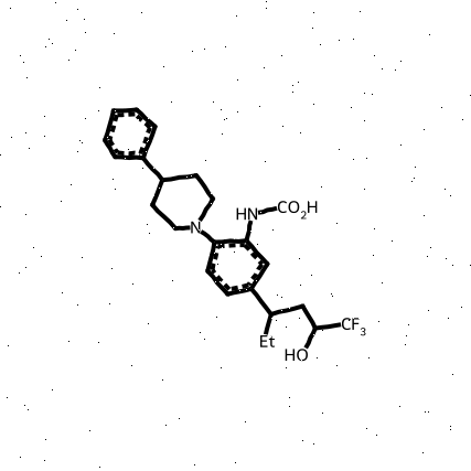 CCC(CC(O)C(F)(F)F)c1ccc(N2CCC(c3ccccc3)CC2)c(NC(=O)O)c1